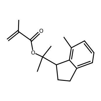 C=C(C)C(=O)OC(C)(C)C1CCc2cccc(C)c21